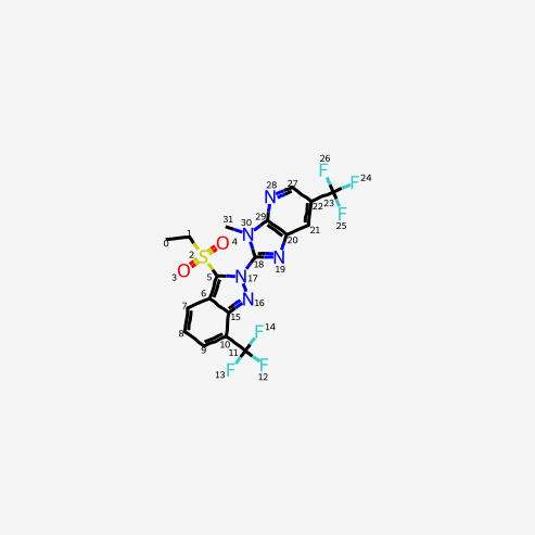 CCS(=O)(=O)c1c2cccc(C(F)(F)F)c2nn1-c1nc2cc(C(F)(F)F)cnc2n1C